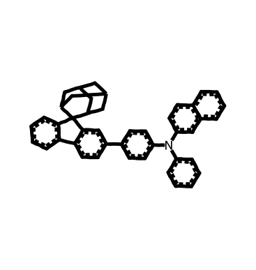 c1ccc(N(c2ccc(-c3ccc4c(c3)C3(c5ccccc5-4)C4CC5CC(C4)CC3C5)cc2)c2ccc3ccccc3c2)cc1